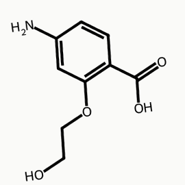 Nc1ccc(C(=O)O)c(OCCO)c1